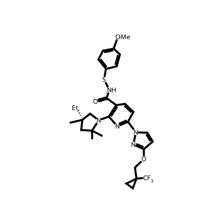 CC[C@]1(C)CN(c2nc(-n3ccc(OCC4(C(F)(F)F)CC4)n3)ccc2C(=O)NSc2ccc(OC)cc2)C(C)(C)C1